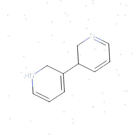 C1=CNCC(C2C=CC=NC2)=C1